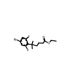 CCOC(=O)CCCC(C)(C)c1c(F)cc(Br)cc1F